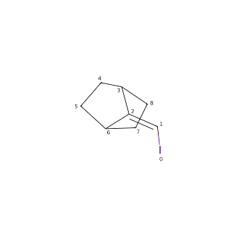 IC=C1C2CCC1CC2